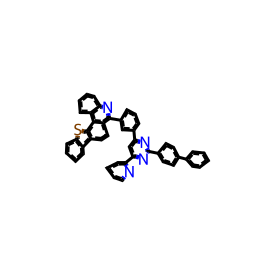 c1ccc(-c2ccc(-c3nc(-c4cccc(-c5nc6ccccc6c6c5ccc5c7ccccc7sc56)c4)cc(-c4ccccn4)n3)cc2)cc1